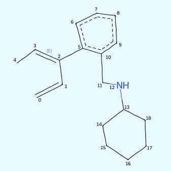 C=C/C(=C\C)c1ccccc1CNC1CCCCC1